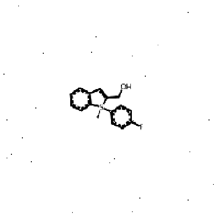 C[S@]1(c2ccc(F)cc2)C(CO)=Cc2ccccc21